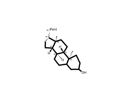 CCC[C@@H](C)[C@H]1CC[C@H]2[C@@H]3CCC4CC(O)CC[C@]4(C)[C@H]3CC[C@]12C